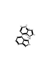 c1ccc2cscc2c1.c1cnc2cc[nH]c2c1